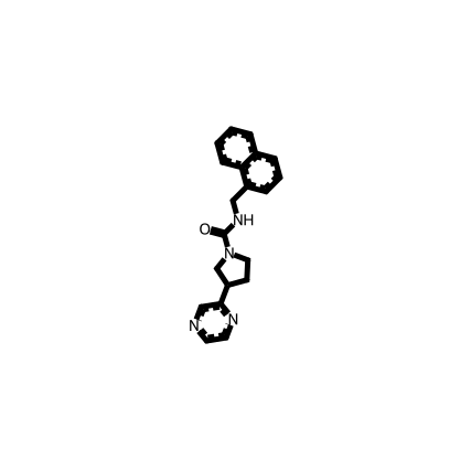 O=C(NCc1cccc2ccccc12)N1CCC(c2cnccn2)C1